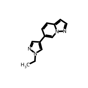 CCn1cc(-c2ccc3ccnn3c2)cn1